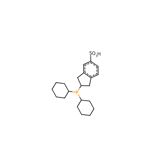 O=S(=O)(O)c1ccc2c(c1)CC(P(C1CCCCC1)C1CCCCC1)C2